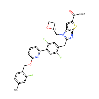 COC(=O)c1cc2c(nc(Cc3cc(F)c(-c4cccc(OCc5ccc(C#N)cc5F)n4)cc3F)n2C[C@@H]2CCO2)s1